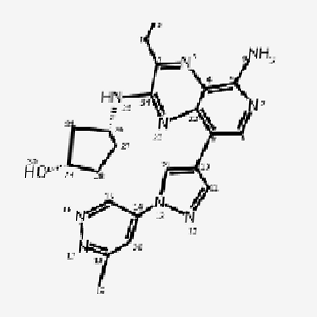 CCc1nc2c(N)ncc(-c3cnn(-c4cnnc(C)c4)c3)c2nc1N[C@@H]1CC[C@H](O)C1